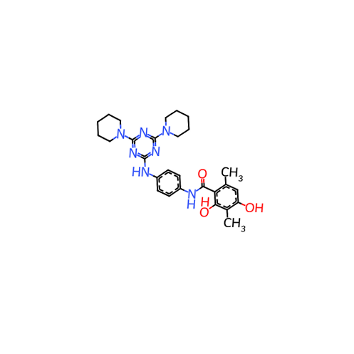 Cc1cc(O)c(C)c(O)c1C(=O)Nc1ccc(Nc2nc(N3CCCCC3)nc(N3CCCCC3)n2)cc1